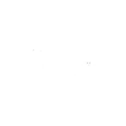 COC(=O)CCCC(=O)OC(C)=O